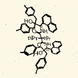 CCCC(CCC)(C(=O)N[C@@H](c1cccc2ccccc12)C(O)(Cc1ccc(C)cc1)Cc1ccc(C)cc1)C(=O)N[C@@H](c1cccc2ccccc12)C(O)(Cc1ccc(C)cc1)Cc1ccc(C)cc1